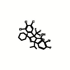 CC(C)C1(c2ccc(F)c(Br)c2)N=C(C2(C)CCCCC2)C(c2cc(Cl)c(Cl)c(Cl)c2)(C(F)(F)F)C1C(=O)O